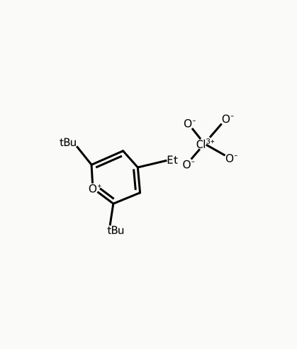 CCc1cc(C(C)(C)C)[o+]c(C(C)(C)C)c1.[O-][Cl+3]([O-])([O-])[O-]